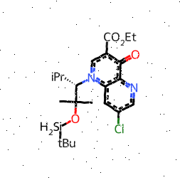 CCOC(=O)c1cn([C@@H](C(C)C)C(C)(C)O[SiH2]C(C)(C)C)c2cc(Cl)cnc2c1=O